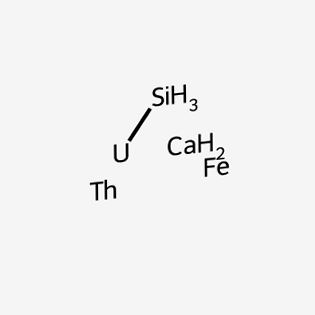 [CaH2].[Fe].[SiH3][U].[Th]